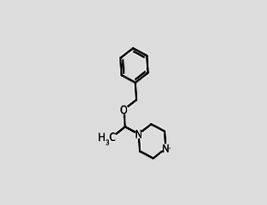 CC(OCc1ccccc1)N1CC[N]CC1